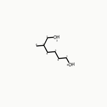 CC(CO)CCCCO